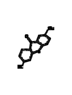 CC(C)(C)c1ccc2sc3cc(C#N)ccc3c(=O)c2c1